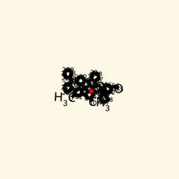 Cc1ccc(C2(c3ccc(C)cc3)c3cc(N(c4ccccc4)c4ccccc4)ccc3-c3c2c2c(c4ccccc34)OC(c3ccccc3)(c3ccc(C=O)cc3)C=C2)cc1